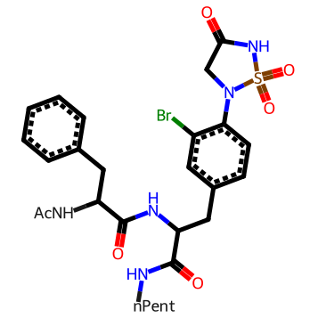 CCCCCNC(=O)C(Cc1ccc(N2CC(=O)NS2(=O)=O)c(Br)c1)NC(=O)C(Cc1ccccc1)NC(C)=O